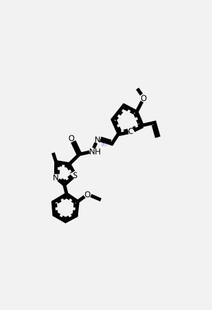 C=Cc1cc(/C=N/NC(=O)c2sc(-c3ccccc3OC)nc2C)ccc1OC